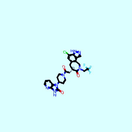 O=C(C[C@@H]1Cc2cc(Cl)c3[nH]ncc3c2CN(CC(F)(F)F)C1=O)N1CCC(n2c(=O)[nH]c3ncccc32)CC1